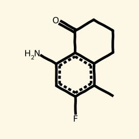 Cc1c(F)cc(N)c2c1CCCC2=O